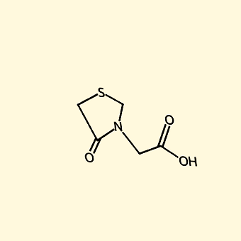 O=C(O)CN1CSCC1=O